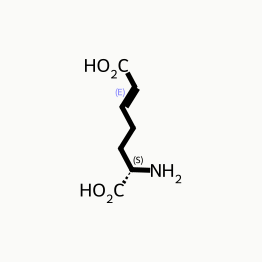 N[C@@H](CC/C=C/C(=O)O)C(=O)O